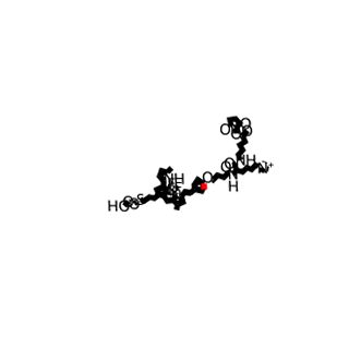 CC1=CC(/C=C/c2ccc(OCCCC(=O)NC(CCCC[N+](C)(C)C)C(=O)NCCCCC(=O)ON3C(=O)CCC3=O)cc2)=[N+]2C1=Cc1c(CCCSOOO)cc(-c3ccc(C)[nH]3)n1[B-]2(F)F